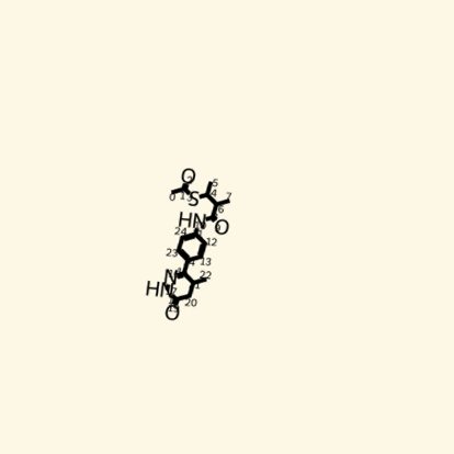 CC(=O)SC(C)C(C)C(=O)Nc1ccc(C2=NNC(=O)CC2C)cc1